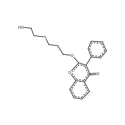 O=c1c(-c2ccccc2)c(OCCCSCCO)oc2ccccc12